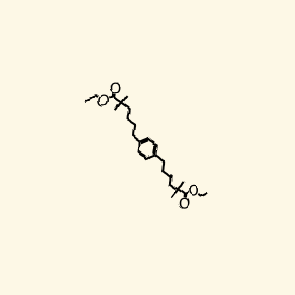 CCOC(=O)C(C)(C)CCCCc1ccc(CCCCC(C)(C)C(=O)OCC)cc1